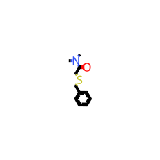 CN(C)C(=O)CSCc1ccccc1